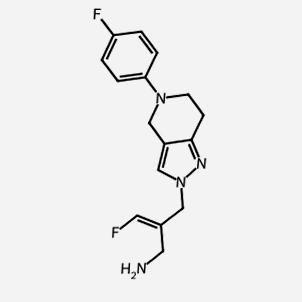 NCC(=CF)Cn1cc2c(n1)CCN(c1ccc(F)cc1)C2